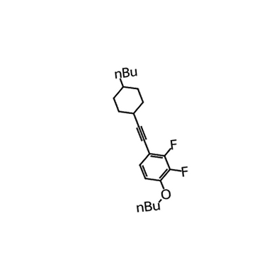 CCCCOc1ccc(C#CC2CCC(CCCC)CC2)c(F)c1F